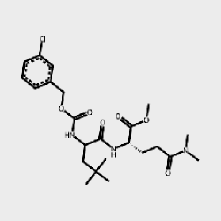 COC(=O)[C@H](CCC(=O)N(C)C)NC(=O)C(CC(C)(C)C)NC(=O)OCc1cccc(Cl)c1